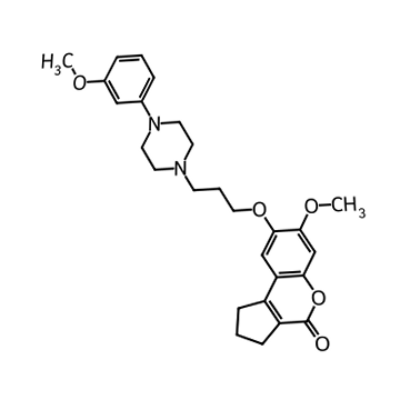 COc1cccc(N2CCN(CCCOc3cc4c5c(c(=O)oc4cc3OC)CCC5)CC2)c1